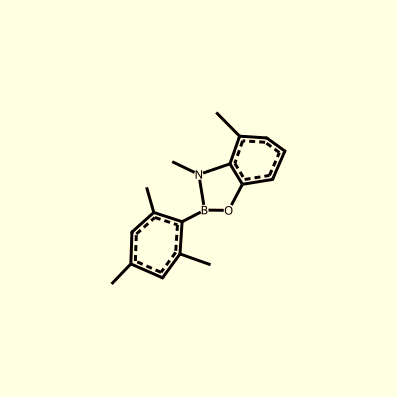 Cc1cc(C)c(B2Oc3cccc(C)c3N2C)c(C)c1